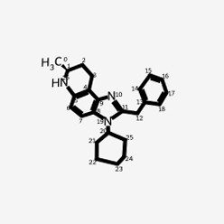 C[C@H]1CCc2c(ccc3c2nc(Cc2ccccc2)n3C2CCCCC2)N1